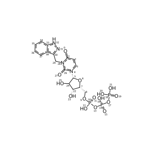 O=c1ccn([C@@H]2O[C@H](COP(=O)(O)OP(=O)(O)OP(=O)(O)O)[C@H](O)C2O)c(=O)n1Cc1n[nH]c2ccccc12